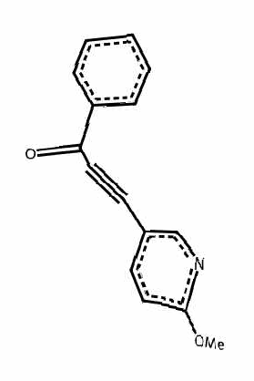 COc1ccc(C#CC(=O)c2ccccc2)cn1